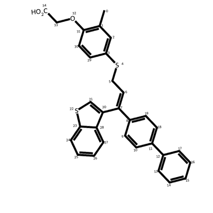 Cc1cc(SC/C=C(/c2ccc(-c3ccccc3)cc2)c2csc3ccccc23)ccc1OCC(=O)O